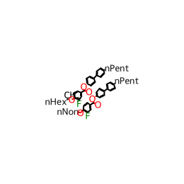 CCCCCCC(C)Oc1ccc(C(=O)Oc2ccc(-c3ccc(CCCCC)cc3)cc2)cc1F.CCCCCCCCCOc1ccc(C(=O)Oc2ccc(-c3ccc(CCCCC)cc3)cc2)cc1F